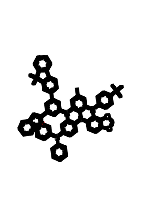 Cc1cc2c3c(c1)N(c1ccc(C(C)(C)C)cc1)c1c(ccc4c1OCO4)B3c1ccc(N(c3ccccc3)c3ccccc3)cc1N2c1cc(-c2ccc3c(c2)C(C)(C)c2ccccc2-3)cc(-c2cc3ccccc3o2)c1